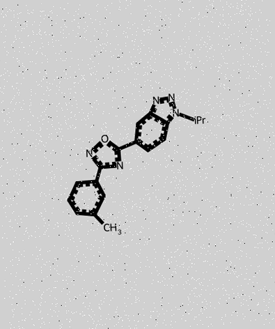 Cc1cccc(-c2noc(-c3ccc4c(c3)nnn4C(C)C)n2)c1